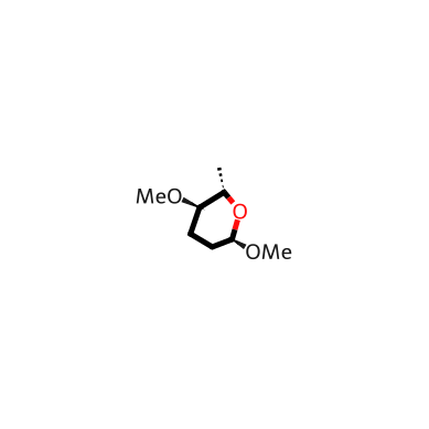 CO[C@H]1CC[C@@H](OC)[C@H](C)O1